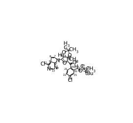 CC1(C)O[C@H]2[C@H](n3ccc4c(Cl)ncnc43)O[C@H](C(=O)c3ccc(Cl)cc3CO[Si](C)(C)C(C)(C)C)[C@@]2(C)O1